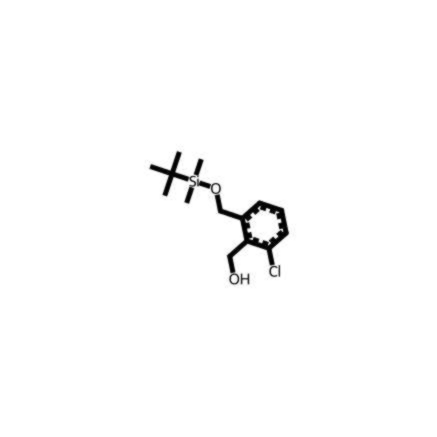 CC(C)(C)[Si](C)(C)OCc1cccc(Cl)c1CO